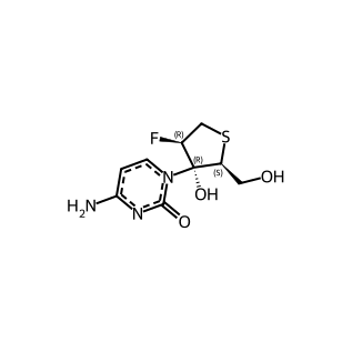 Nc1ccn([C@]2(O)[C@H](CO)SC[C@@H]2F)c(=O)n1